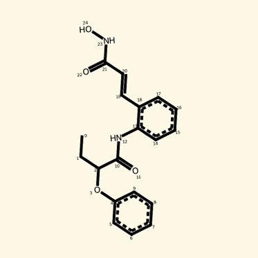 CCC(Oc1ccccc1)C(=O)Nc1ccccc1C=CC(=O)NO